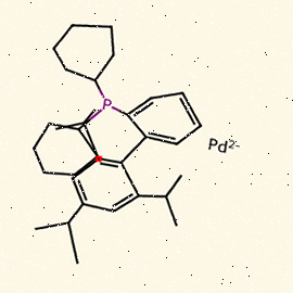 CC(C)c1cc(C(C)C)c(-c2ccccc2P(C2CCCCC2)C2CCCCC2)c(C(C)C)c1.[Pd-2]